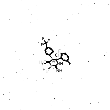 C=C1[C@@H](c2ccc(C(F)(F)F)cc2)[C@@](C)(c2cc(F)ccc2F)NC(=N)N1C